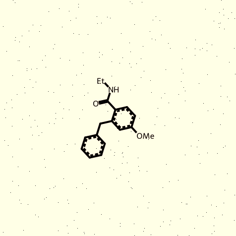 CCNC(=O)c1ccc(OC)cc1Cc1ccccc1